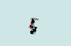 COC(=O)c1ccc2nc(N3C[C@@H]4C[C@H](OCc5c(-c6c(Cl)cccc6Cl)noc5C5CC5)[C@H]3C4)sc2c1